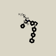 COONC1=NN(c2ccccc2)C(=O)/C1=C\c1ccc2c(c1)CCCN2c1ccc(-c2ccc(-c3ccccc3)cc2)cc1